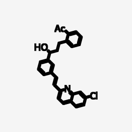 CC(=O)c1ccccc1CCC(O)c1cccc(C=Cc2ccc3ccc(Cl)cc3n2)c1